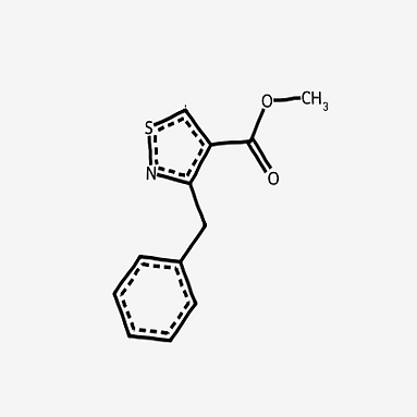 COC(=O)c1[c]snc1Cc1ccccc1